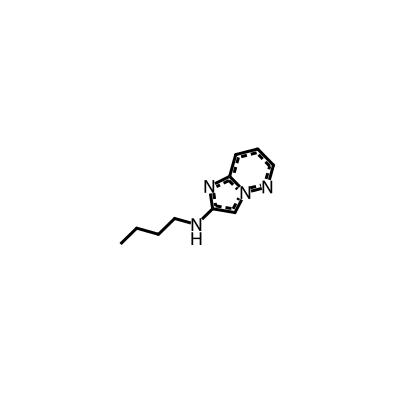 CCCCNc1cn2ncccc2n1